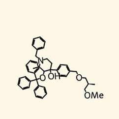 COC[C@H](C)COCc1ccc(C2(O)CCN(Cc3ccccc3)C(C)C2OC(c2ccccc2)(c2ccccc2)c2ccccc2)cc1